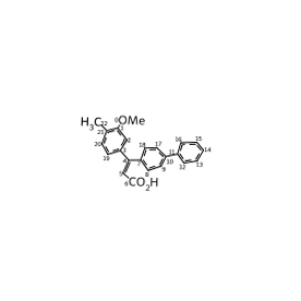 COc1cc(C(=CC(=O)O)c2ccc(-c3ccccc3)cc2)ccc1C